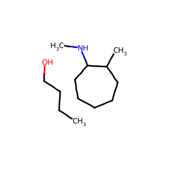 CCCCO.CNC1CCCCCC1C